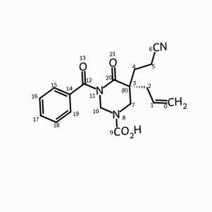 C=CC[C@]1(CCC#N)CN(C(=O)O)CN(C(=O)c2ccccc2)C1=O